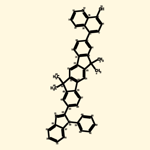 CC1(C)c2cc(-c3ccc(O)c4ncccc34)ccc2-c2cc3c(cc21)-c1ccc(-c2nc4ccccc4n2-c2ccccc2)cc1C3(C)C